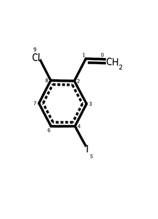 C=Cc1cc(I)ccc1Cl